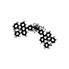 C[Si](C)(O[Si](C)(C)c1ccc(-c2c3ccccc3c(N3c4ccccc4Sc4ccccc43)c3ccccc23)cc1)c1ccc(-c2c3ccccc3c(N3c4ccccc4Sc4ccccc43)c3ccccc23)cc1